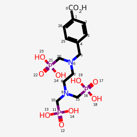 O=C(O)c1ccc(CN(CCN(CP(=O)(O)O)CP(=O)(O)O)CP(=O)(O)O)cc1